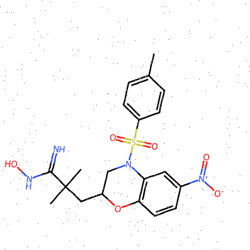 Cc1ccc(S(=O)(=O)N2CC(CC(C)(C)C(=N)NO)Oc3ccc([N+](=O)[O-])cc32)cc1